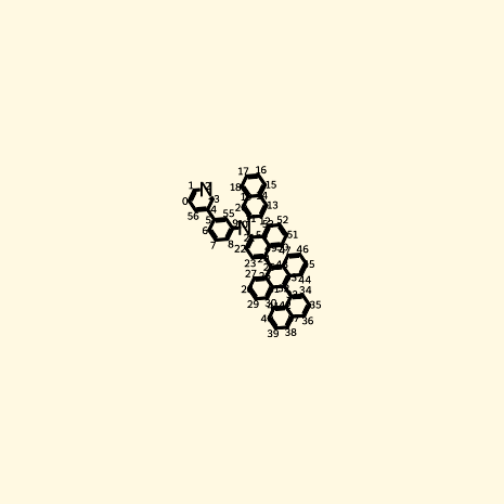 c1cncc(-c2cccc(N(c3ccc4ccccc4c3)c3ccc(-c4c5ccccc5c(-c5cccc6ccccc56)c5ccccc45)c4ccccc34)c2)c1